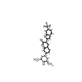 CC1CN(c2ccc3cc(-c4cn5ccc(C(F)(F)F)cc5n4)c(=O)oc3c2)CC(C)N1